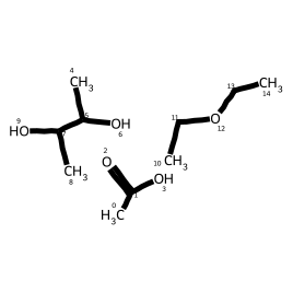 CC(=O)O.CC(O)C(C)O.CCOCC